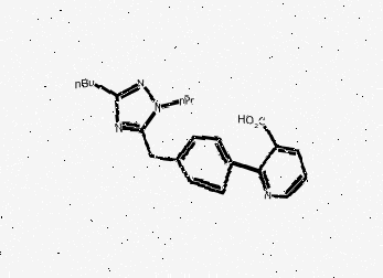 CCCCc1nc(Cc2ccc(-c3ncccc3C(=O)O)cc2)n(CCC)n1